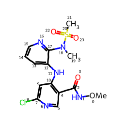 CONC(=O)c1cnc(Cl)cc1Nc1cccnc1N(C)S(C)(=O)=O